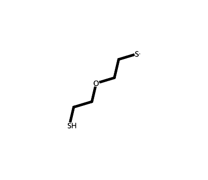 [S]CCOCCS